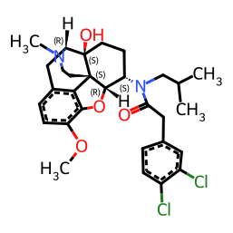 COc1ccc2c3c1O[C@H]1[C@@H](N(CC(C)C)C(=O)Cc4ccc(Cl)c(Cl)c4)CC[C@@]4(O)[C@@H](C2)N(C)CC[C@]314